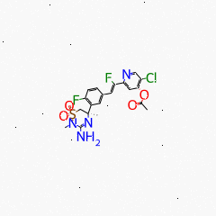 CC(=O)Oc1cc(/C(F)=C/c2ccc(F)c([C@]3(C)CS(=O)(=O)N(C)C(N)=N3)c2)ncc1Cl